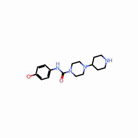 [O]c1ccc(NC(=O)N2CCN(C3CCNCC3)CC2)cc1